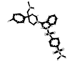 CN(C)CC1(c2ccc(F)cc2)CCN(c2nn(S(=O)(=O)c3ccc(S(=O)(=O)N(C)C)cc3)c3ccccc23)CC1